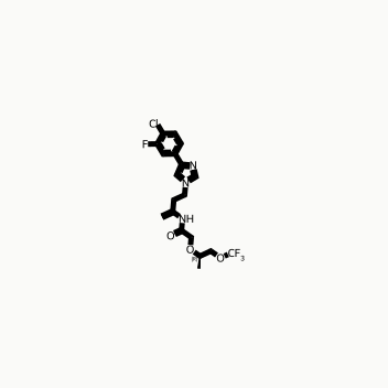 C=C(CCn1cnc(-c2ccc(Cl)c(F)c2)c1)NC(=O)CO[C@H](C)COC(F)(F)F